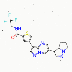 O=C(NCC(F)(F)F)c1cc(-c2cnn3cc(C4C=NN5CCCC45)cnc23)cs1